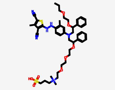 CCCOCCOC(CN(CC(OCCOCCOCC[N+](C)(C)CCCS(=O)(=O)O)c1ccccc1)c1ccc(NNc2sc(C#N)c(C)c2C#N)c(C)c1)c1ccccc1